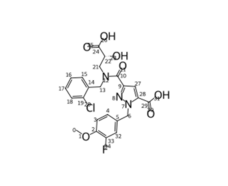 COc1ccc(Cn2nc(C(=O)N(Cc3ccccc3Cl)C[C@@H](O)C(=O)O)cc2C(=O)O)cc1F